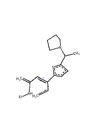 C=C/C(=C\C(=C)NCC)c1ccc(C(C)N2CCCC2)s1